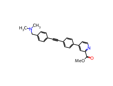 COC(=O)c1cc(-c2ccc(C#Cc3ccc(CN(C)C)cc3)cc2)ccn1